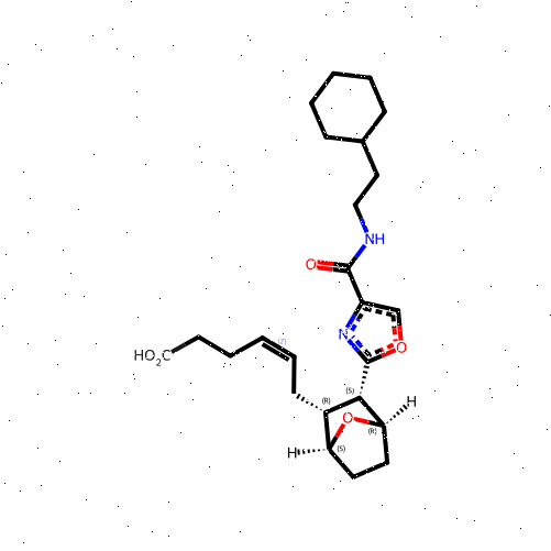 O=C(O)CC/C=C\C[C@@H]1[C@H](c2nc(C(=O)NCCC3CCCCC3)co2)[C@H]2CC[C@@H]1O2